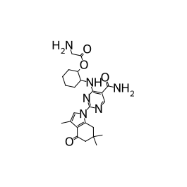 Cc1cn(-c2ncc(C(N)=O)c(NC3CCCCC3OC(=O)CN)n2)c2c1C(=O)CC(C)(C)C2